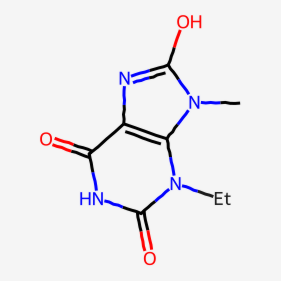 CCn1c(=O)[nH]c(=O)c2nc(O)n(C)c21